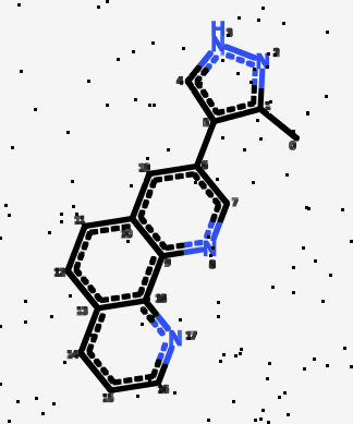 Cc1n[nH]cc1-c1cnc2c(ccc3cccnc32)c1